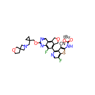 CC(C)(C)OC(=O)Nc1sc2c(F)cnc(-c3c4c(c5cnc(OCC6(CN7CC8(CCOC8)C7)CC6)nc5c3F)COC4)c2c1C#N